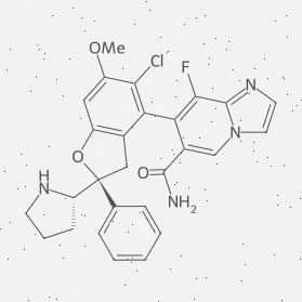 COc1cc2c(c(-c3c(C(N)=O)cn4ccnc4c3F)c1Cl)C[C@](c1ccccc1)([C@@H]1CCCN1)O2